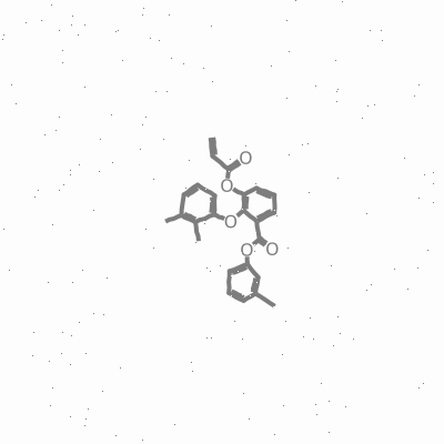 C=CC(=O)Oc1cccc(C(=O)Oc2cccc(C)c2)c1Oc1cccc(C)c1C